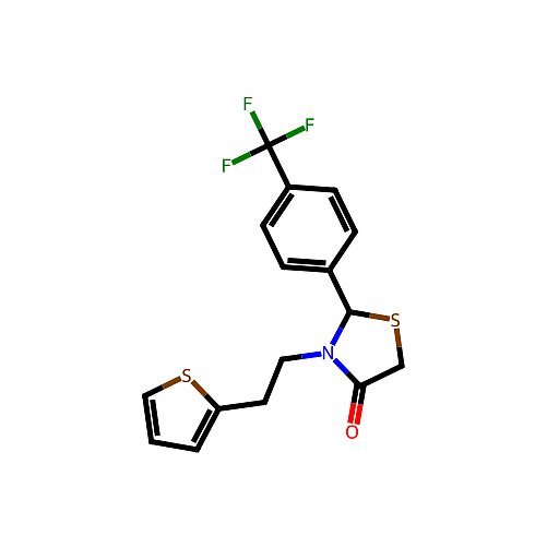 O=C1CSC(c2ccc(C(F)(F)F)cc2)N1CCc1cccs1